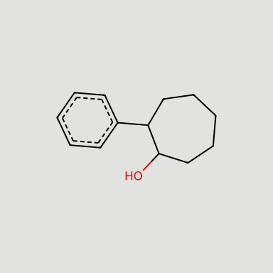 OC1CCCCCC1c1ccccc1